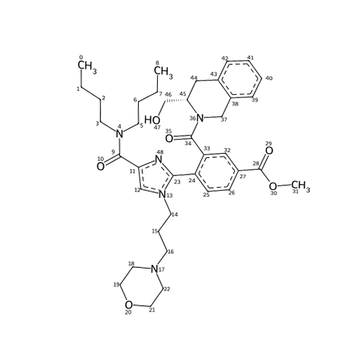 CCCCN(CCCC)C(=O)c1cn(CCCN2CCOCC2)c(-c2ccc(C(=O)OC)cc2C(=O)N2Cc3ccccc3C[C@H]2CO)n1